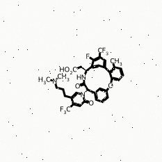 Cc1cccc2c1-c1cc(c(F)c(C(F)(F)F)c1)[C@H](CC(=O)O)NC(=O)[C@@H](n1cc(CCCN(C)C)c(C(F)(F)F)cc1=O)c1cccc(c1)O2